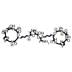 CC(C)[C@@H]1NC(=O)C(C)(C)NC(=O)c2csc(n2)CNC(=O)C[C@@H](/C=C/CC/[SH]=C(/OC(=O)C(=O)O/C(=[SH]/CC/C=C/[C@@H]2CC(=O)NCc3nc(cs3)C(=O)NC(C)(C)C(=O)N[C@@H](C(C)C)C(=O)O2)[C@H](C)N)[C@H](C)N)OC1=O